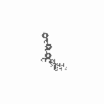 C[C@](N)(CO)c1nc(-c2ccc(Sc3cccc(OCc4ccccc4)c3)cc2Cl)cs1